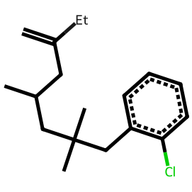 C=C(CC)CC(C)CC(C)(C)Cc1ccccc1Cl